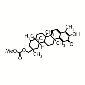 COC(=O)OC[C@]1(C)CC[C@]2(C)CC[C@]3(C)C4=CC=C5C(=CC(=O)C(O)=C5C)[C@]4(C)CC[C@@]3(C)[C@@H]2C1